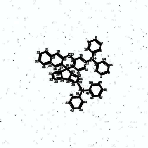 c1ccc(N(c2ccccc2)c2ccc3c(c2)Sc2cc4ccccc4cc2C32c3ccccc3-c3cc(N(c4ccccc4)c4ccccc4)ccc32)cc1